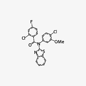 COc1cc(N(C(=O)c2ccc(F)cc2Cl)c2nc3ccccc3s2)ccc1Cl